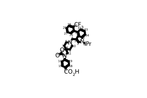 CC(C)n1cc(CN2CCC3(CC2)CN(c2ccc(C(=O)O)cc2)C(=O)O3)c2c(-c3ccccc3C(F)(F)F)cccc21